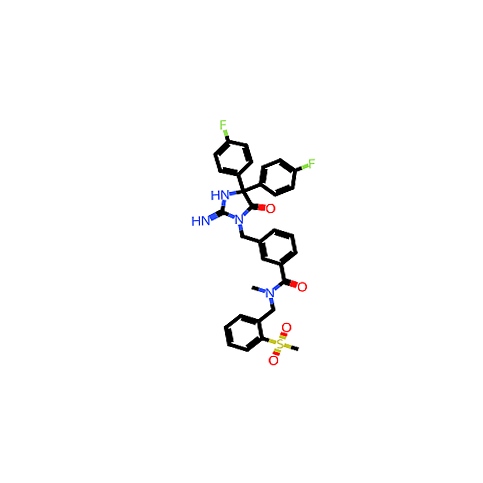 CN(Cc1ccccc1S(C)(=O)=O)C(=O)c1cccc(CN2C(=N)NC(c3ccc(F)cc3)(c3ccc(F)cc3)C2=O)c1